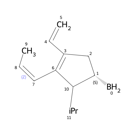 B[C@H]1CC(C=C)=C(/C=C\C)C1C(C)C